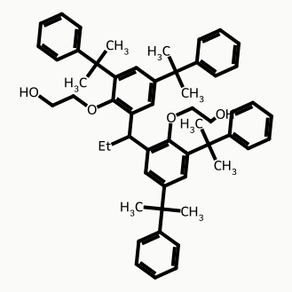 CCC(c1cc(C(C)(C)c2ccccc2)cc(C(C)(C)c2ccccc2)c1OCCO)c1cc(C(C)(C)c2ccccc2)cc(C(C)(C)c2ccccc2)c1OCCO